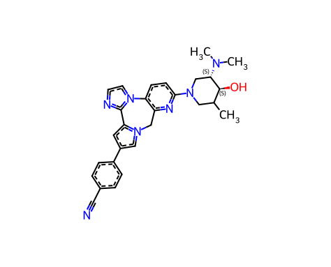 CC1CN(c2ccc3c(n2)Cn2cc(-c4ccc(C#N)cc4)cc2-c2nccn2-3)C[C@H](N(C)C)[C@H]1O